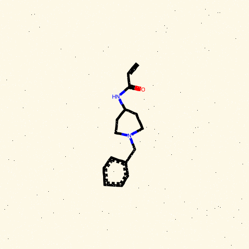 C=CC(=O)NC1CCN(Cc2ccccc2)CC1